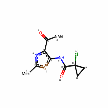 CNC(=O)c1nc(SC)sc1NC(=O)C1(Cl)CC1